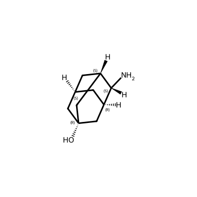 N[C@@H]1[C@@H]2C[C@@H]3C[C@H]1C[C@](O)(C3)C2